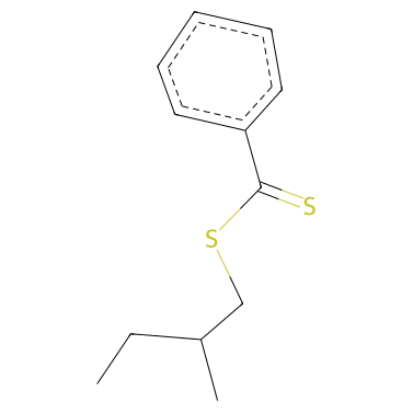 CCC(C)CSC(=S)c1ccccc1